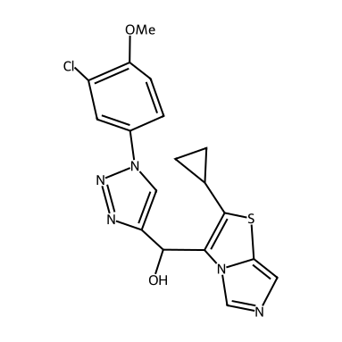 COc1ccc(-n2cc(C(O)c3c(C4CC4)sc4cncn34)nn2)cc1Cl